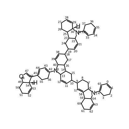 C1=CCCC(N2C3CCC(C4C=CC5C(C4)C4CC(C6C=CC7C(C6)C6CCC=C[C@@H]6N7C6=CC=CCC6)C=CC4N5C4=CC=C(C5=COC6CCC=C[C@@H]56)CC4)C=C3C3CCC=CC32)=C1